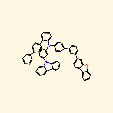 c1ccc(-c2ccc(-c3ccccc3N(c3ccc(-c4cccc(-c5ccc6c(c5)oc5ccccc56)c4)cc3)c3cccc(-n4c5ccccc5c5ccccc54)c3)cc2)cc1